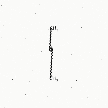 CCCCCCCCCCCCCCCCCCCc1cc[n+](CCCCCCCCCCCCCC)cc1